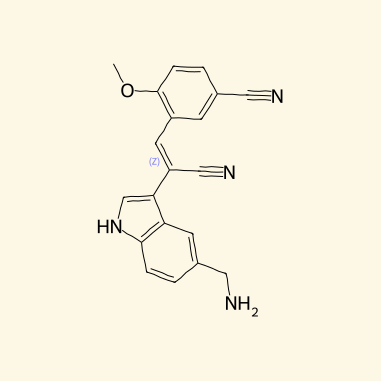 COc1ccc(C#N)cc1/C=C(\C#N)c1c[nH]c2ccc(CN)cc12